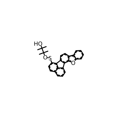 CC(C)(O)C(C)(C)OSc1ccc2cccc3c2c1-c1ccc2c(oc4ccccc42)c1-3